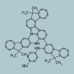 CC(C)(C)c1ccc(Nc2cc3c(cc2-c2ccc4c5c6c(ccc5n5c4c2Bc2cc4c(cc2-5)-c2ccccc2C4(C)C)C(C)(C)c2ccccc2-6)-c2ccccc2C3(C)C)cc1